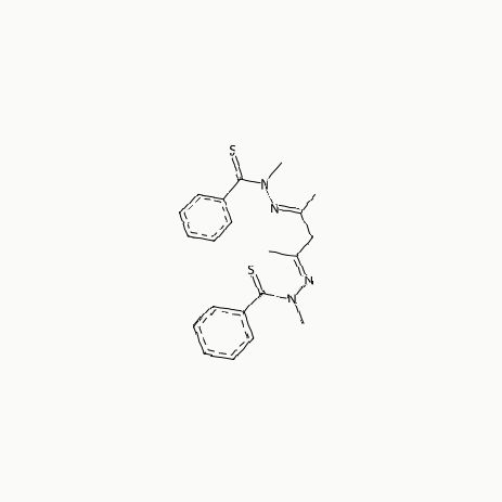 C/C(C/C(C)=N/N(C)C(=S)c1ccccc1)=N\N(C)C(=S)c1ccccc1